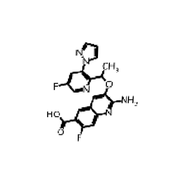 CC(Oc1cc2cc(C(=O)O)c(F)cc2nc1N)c1ncc(F)cc1-n1cccn1